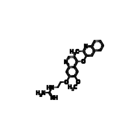 COc1cc2c(Oc3cc4ccccc4nc3C)ccnc2cc1OCCNC(=N)N